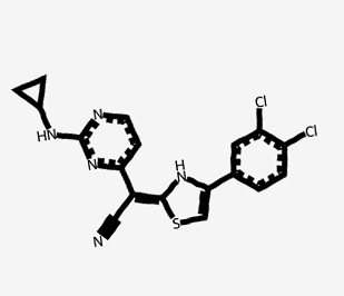 N#CC(=C1NC(c2ccc(Cl)c(Cl)c2)=CS1)c1ccnc(NC2CC2)n1